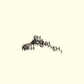 CCCCCCCNC(=O)Oc1ccc2c(c1)c(C)cn2NCCCc1ccncc1F